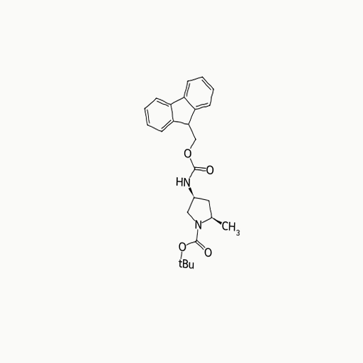 C[C@@H]1C[C@H](NC(=O)OCC2c3ccccc3-c3ccccc32)CN1C(=O)OC(C)(C)C